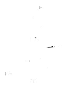 CC(C)OC(=O)[C@H](C)NSSS